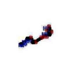 C[C@H](NC(=O)c1cccc(NCc2nnc(-c3ccncn3)n2C)c1)c1cccc(OCCCCCCOCCOCC(=O)Nc2cccc3c2CN(C2CCC(=O)NC2=O)C3=O)c1